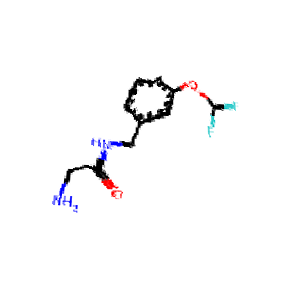 NCC(=O)NCc1cccc(OC(F)F)c1